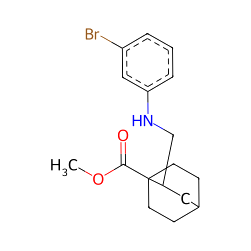 COC(=O)C12CCC(CC1)CC2CNc1cccc(Br)c1